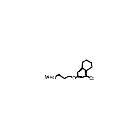 CCc1cc(OCCCOC)cc2c1CCCC2